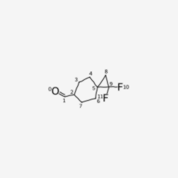 O=CC1CCC2(CC1)CC2(F)F